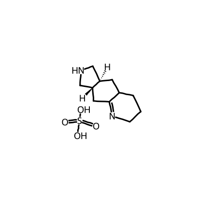 C1CN=C2C[C@@H]3CNC[C@H]3CC2C1.O=S(=O)(O)O